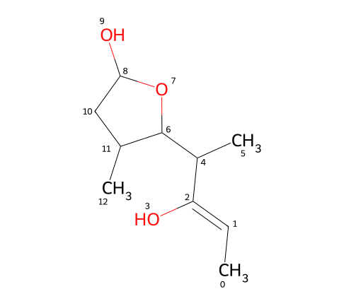 CC=C(O)C(C)C1OC(O)CC1C